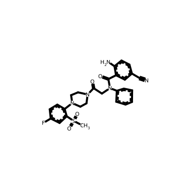 CS(=O)(=O)c1cc(F)ccc1N1CCN(C(=O)CN(C(=O)c2cc(C#N)ccc2N)c2ccccc2)CC1